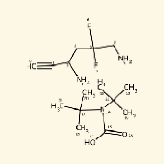 C#CC(N)CC(F)(F)CN.CC(C)(C)N(C(=O)O)C(C)(C)C